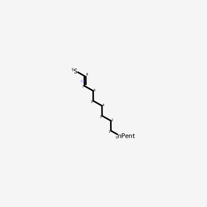 CCCCCCCCCCC/C=C/[S]